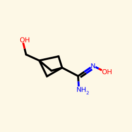 NC(=NO)C12CC(CO)(C1)C2